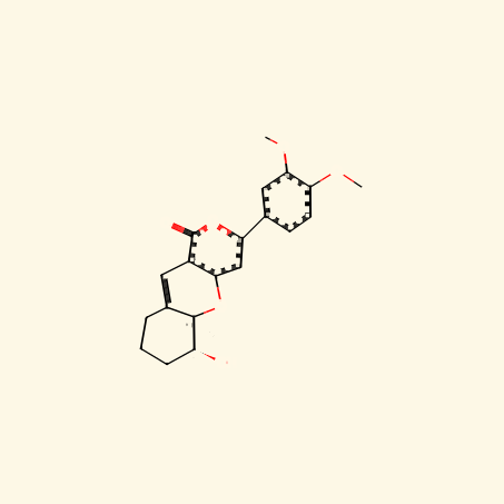 COc1ccc(-c2cc3c(c(=O)o2)C=C2CCC[C@H](O)[C@]2(C)O3)cc1OC